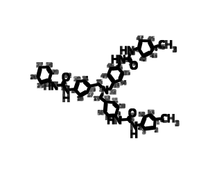 Cc1ccc(NC(=O)Nc2ccc(CN(Cc3ccc(NC(=O)Nc4ccccc4)cc3)Cc3ccc(NC(=O)Nc4ccc(C)cc4)cc3)cc2)cc1